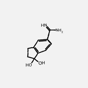 N=C(N)c1ccc2c(c1)CCC2(O)O